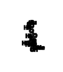 COC(=O)[C@H](CO)NC(=O)[C@H](CO)N1CNc2c(cccc2-c2ccc(NC(=O)OC(C)(C)C)cc2)C1=O